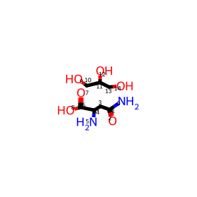 NC(=O)CC(N)C(=O)O.OCC(O)CO